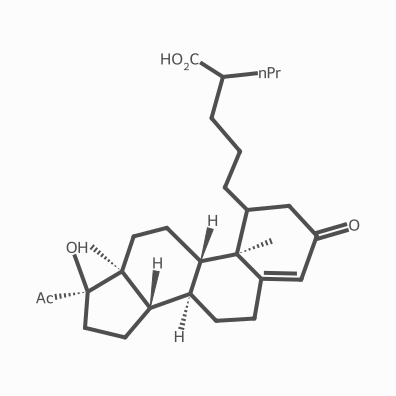 CCCC(CCCC1CC(=O)C=C2CC[C@H]3[C@@H]4CC[C@](O)(C(C)=O)[C@@]4(C)CC[C@@H]3[C@]21C)C(=O)O